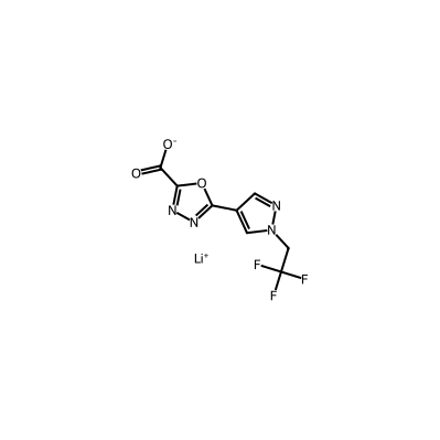 O=C([O-])c1nnc(-c2cnn(CC(F)(F)F)c2)o1.[Li+]